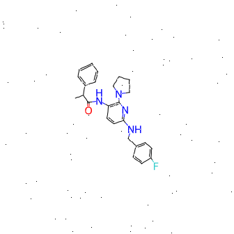 CC(C(=O)Nc1ccc(NCc2ccc(F)cc2)nc1N1CCCC1)c1ccccc1